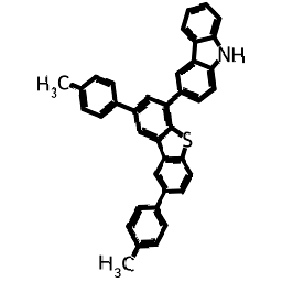 Cc1ccc(-c2ccc3sc4c(-c5ccc6[nH]c7ccccc7c6c5)cc(-c5ccc(C)cc5)cc4c3c2)cc1